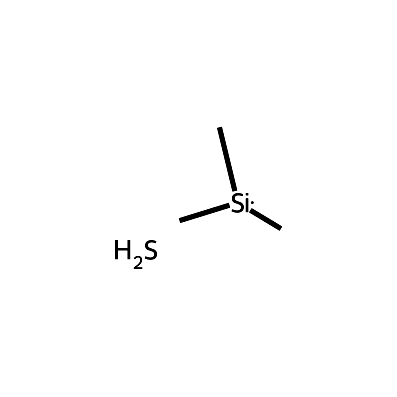 C[Si](C)C.S